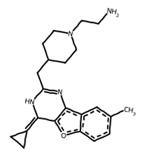 Cc1ccc2oc3c(c2c1)N=C(CC1CCN(CCN)CC1)NC3=C1CC1